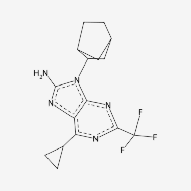 Nc1nc2c(C3CC3)nc(C(F)(F)F)nc2n1C1CC2CCC1C2